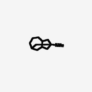 CNC12CC3CCCC(C1)C(C3)C2